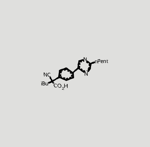 CCCCCc1cnc(-c2ccc(C(C#N)(C(=O)O)C(C)CC)cc2)cn1